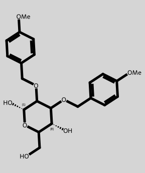 COc1ccc(COC2C(OCc3ccc(OC)cc3)[C@@H](O)OC(CO)[C@H]2O)cc1